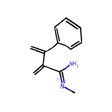 C=C(C(=C)c1ccccc1)/C(N)=N/C